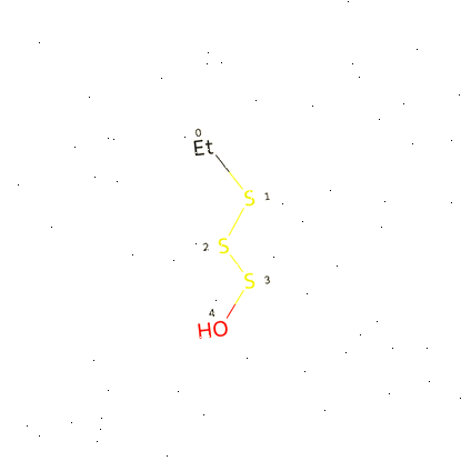 CCSSSO